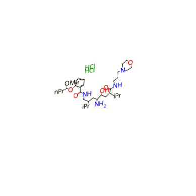 CCCC(OC)Oc1ccccc1C(=O)NCC(CC(N)C(O)CC(C(=O)NCCCN1CCOCC1)C(C)C)C(C)C.Cl.Cl